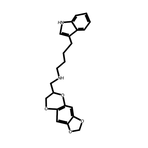 c1ccc2c(CCCCNCC3COc4cc5c(cc4O3)OCO5)c[nH]c2c1